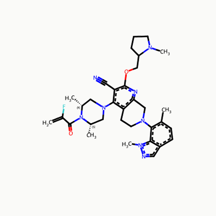 C=C(F)C(=O)N1[C@H](C)CN(c2c(C#N)c(OCC3CCCN3C)nc3c2CCN(c2c(C)ccc4cnn(C)c24)C3)C[C@@H]1C